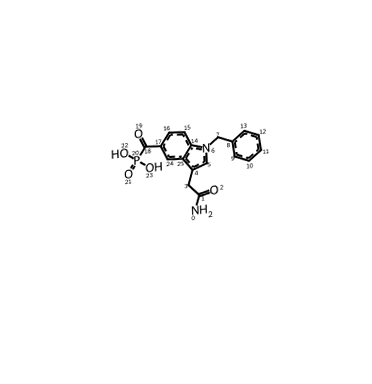 NC(=O)Cc1cn(Cc2ccccc2)c2ccc(C(=O)P(=O)(O)O)cc12